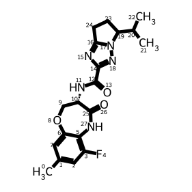 Cc1cc(F)c2c(c1)OC[C@H](NC(=O)c1nc3n(n1)C(C(C)C)CC3)C(=O)N2